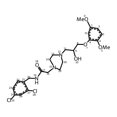 COc1ccc(OC)c(OCC(O)CN2CCN(CC(=O)NCc3ccc(Cl)cc3Cl)CC2)c1